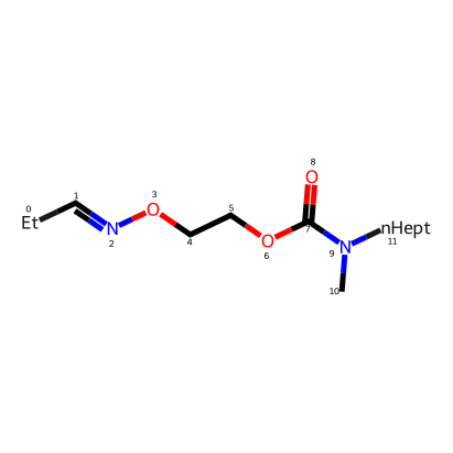 CCC=NOCCOC(=O)N(C)CCCCCCC